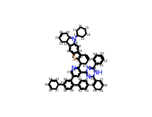 C1#Cc2c(sc3cc4c(cc23)N(C2CCCCC2)C2CC=CCC42)C(c2ncc(-c3cc(C4C=CC=CC4)ccc3-c3ccccc3)cc2C2=NC(C3=CCCC=C3)NC(c3cc#ccc3)=N2)C1